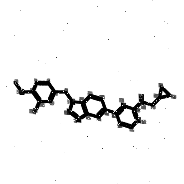 COc1ccc(Cn2nnc3cc(-c4ccnc(NCC5CC5)n4)ccc32)cc1F